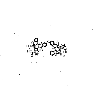 CC1(C)S[C@@H]2[C@H](N(C(=O)c3ccc(Sc4ccc(C(=O)N(C(=O)C(NC(N)=O)c5ccccc5)[C@@H]5C(=O)N6[C@@H]5SC(C)(C)[C@@H]6C(=O)O)cc4)cc3)C(=O)C(NC(N)=O)c3ccccc3)C(=O)N2[C@H]1C(=O)O